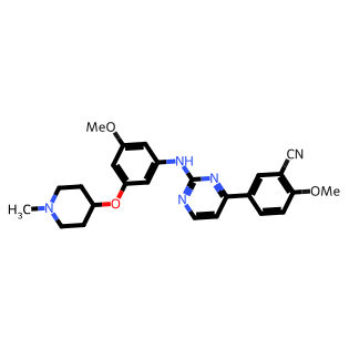 COc1cc(Nc2nccc(-c3ccc(OC)c(C#N)c3)n2)cc(OC2CCN(C)CC2)c1